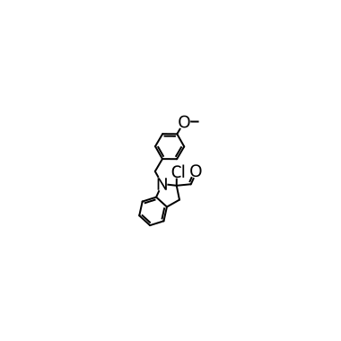 COc1ccc(CN2c3ccccc3CC2(Cl)C=O)cc1